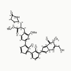 COc1nc(-c2cccc(-c3cccc(-c4cc5c(=O)n(C)c(CO)nn5c4)c3Cl)c2Cl)ccc1CN(C[C@@H]1CCC(=O)N1)C(=O)OC(C)(C)C